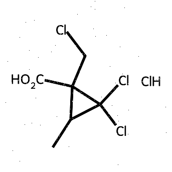 CC1C(Cl)(Cl)C1(CCl)C(=O)O.Cl